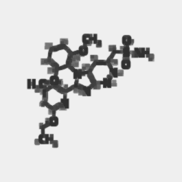 CCOc1cccc(-c2nc3nnc(CS(N)(=O)=O)cc3n2-c2c(OC)cccc2OC)n1